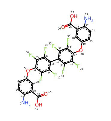 Nc1ccc(Oc2c(F)c(F)c(-c3c(F)c(F)c(Oc4ccc(N)c(C(=O)O)c4)c(F)c3F)c(F)c2F)cc1C(=O)O